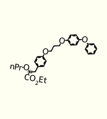 CCCO[C@@H](Cc1ccc(OCCCOc2ccc(Oc3ccccc3)cc2)cc1)C(=O)OCC